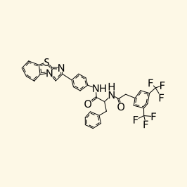 O=C(Cc1cc(C(F)(F)F)cc(C(F)(F)F)c1)NC(Cc1ccccc1)C(=O)Nc1ccc(-c2cn3c(n2)sc2ccccc23)cc1